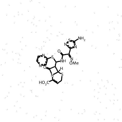 CON=C(C(=O)NC(Sc1cnccn1)C1C(=O)N2C(C(=O)O)=CCS[C@@H]12)c1nsc(N)n1